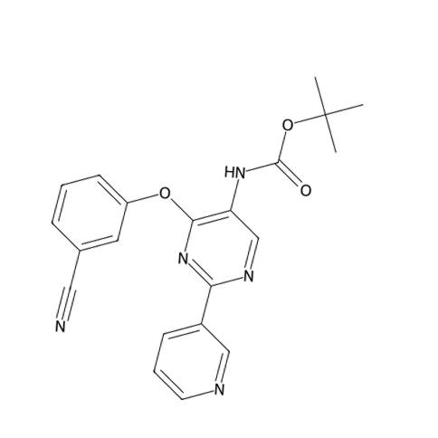 CC(C)(C)OC(=O)Nc1cnc(-c2cccnc2)nc1Oc1cccc(C#N)c1